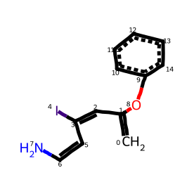 C=C(/C=C(I)\C=C/N)Oc1ccccc1